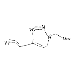 C=Cc1cn(C(C)(C)C)nn1